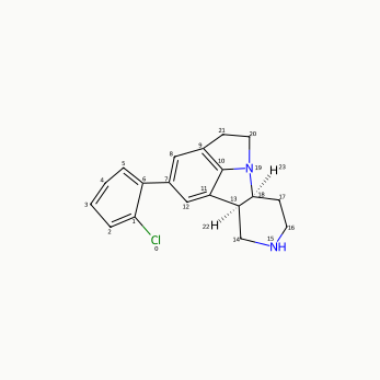 Clc1ccccc1-c1cc2c3c(c1)[C@@H]1CNCC[C@@H]1N3CC2